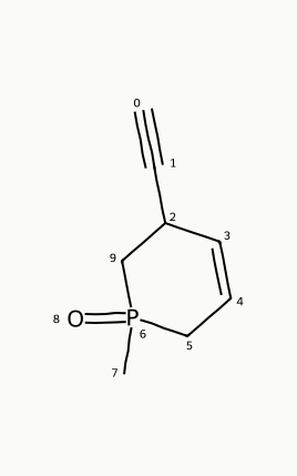 C#CC1C=CCP(C)(=O)C1